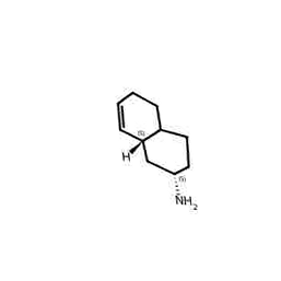 N[C@H]1CCC2CCC=C[C@H]2C1